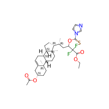 CCOC(=O)C(F)(F)C(C[C@@H](C)[C@H]1CC[C@H]2[C@@H]3CC=C4C[C@@H](OC(C)=O)CC[C@]4(C)[C@H]3CC[C@]12C)OC(=S)n1ccnc1